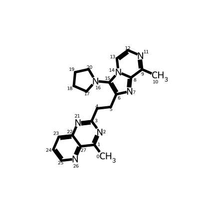 Cc1nc(CCc2nc3c(C)nccn3c2N2CCCC2)nc2cccnc12